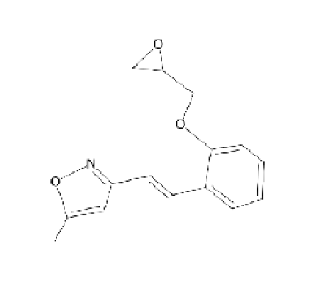 Cc1cc(C=Cc2ccccc2OCC2CO2)no1